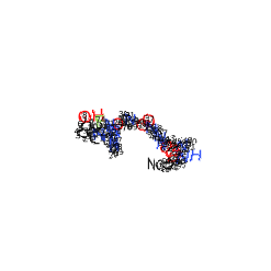 CCc1cccc2cc(O)cc(-c3ncc4c(N5CC6CCC(C5)N6)nc(OCC56CCCN5C(COC(=O)N5CCN(c7cc(CC(=O)N8CCCC8C(=O)NC(C)c8ccc(C#N)cc8)on7)CC5)CC6)nc4c3F)c12